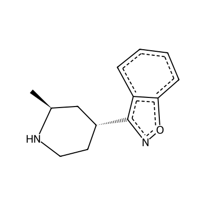 C[C@H]1C[C@H](c2noc3ccccc23)CCN1